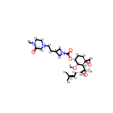 CO[C@@H]1[C@H](OC(=O)N2CC(CCN3CCN(C)C(=O)C3)C2)CC[C@]2(CO2)[C@H]1[C@@]1(C)O[C@@H]1CC=C(C)C